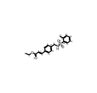 CCOC(=O)/C=C/c1ccc(CNS(=O)(=O)c2ccccc2C)cc1